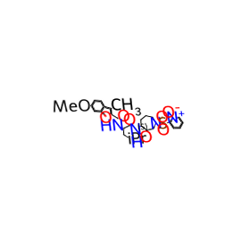 COc1ccc2c(C)c(C(=O)NC(CC(C)C)C(=O)N[C@H]3CCCN(S(=O)(=O)c4cccc[n+]4[O-])CC3=O)oc2c1